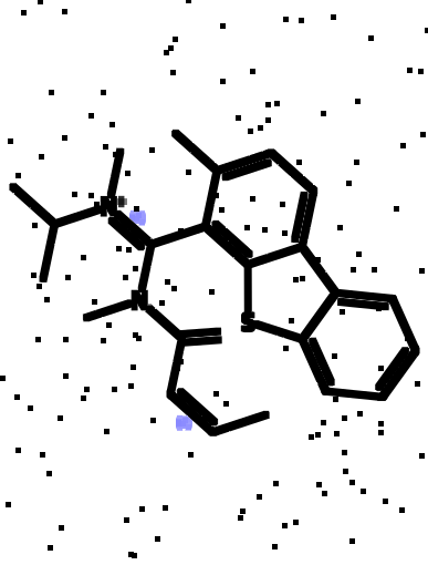 C=C(/C=C\C)N(C)/C(c1c(C)ccc2c1sc1ccccc12)=[N+](/C)C(C)C